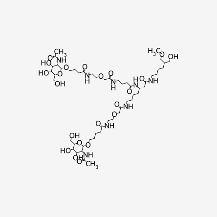 COCC(CO)CCCCNC(=O)C[C@H](CCCCNC(=O)COCCNC(=O)CCCCO[C@@H]1OC(CO)[C@H](O)[C@H](O)C1NC(C)=O)NC(=O)CCCNC(=O)COCCNC(=O)CCCO[C@@H]1OC(CO)[C@H](O)[C@H](O)C1NC(C)=O